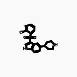 O=S(=O)(c1ccccc1Cl)c1c[nH]c2ccc(N3CCNCC3)cc12